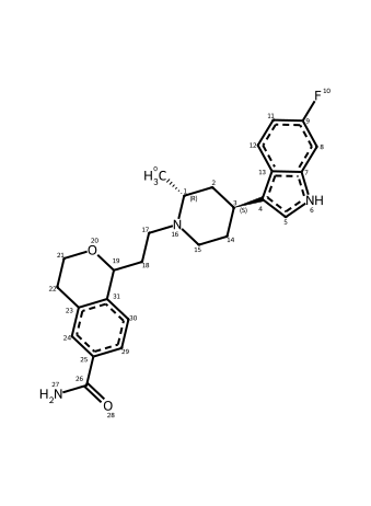 C[C@@H]1C[C@@H](c2c[nH]c3cc(F)ccc23)CCN1CCC1OCCc2cc(C(N)=O)ccc21